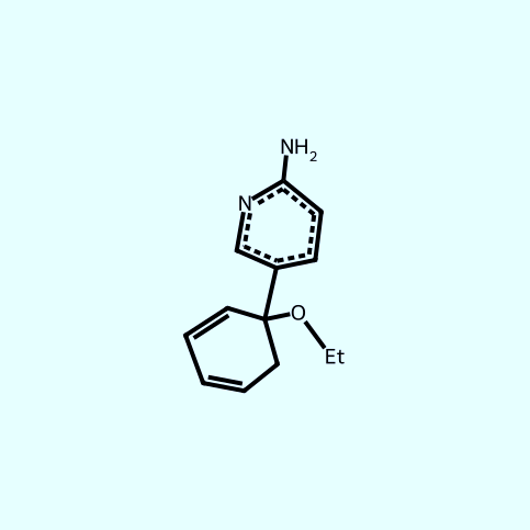 CCOC1(c2ccc(N)nc2)C=CC=CC1